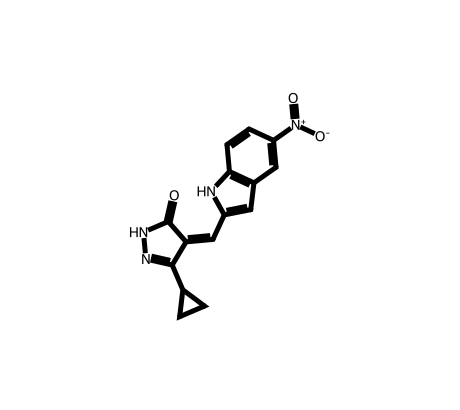 O=C1NN=C(C2CC2)C1=Cc1cc2cc([N+](=O)[O-])ccc2[nH]1